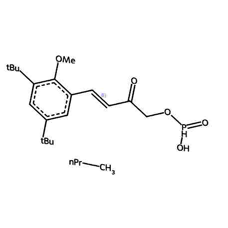 CCCC.COc1c(/C=C/C(=O)CO[PH](=O)O)cc(C(C)(C)C)cc1C(C)(C)C